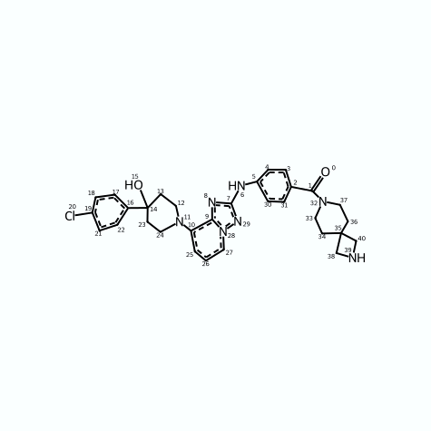 O=C(c1ccc(Nc2nc3c(N4CCC(O)(c5ccc(Cl)cc5)CC4)cccn3n2)cc1)N1CCC2(CC1)CNC2